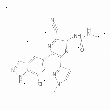 CNC(=O)Nc1nc(-c2ccn(C)n2)c(-c2cc(Cl)c3[nH]ncc3c2)nc1C#N